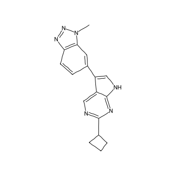 Cn1nnc2ccc(-c3c[nH]c4nc(C5CCC5)ncc34)cc21